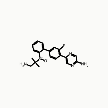 CC(C)(CN)[S+]([O-])c1ccccc1-c1ccc(-c2cnc(N)cn2)c(F)c1